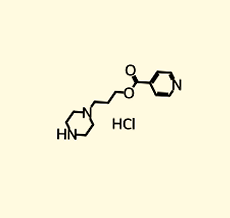 Cl.O=C(OCCCN1CCNCC1)c1ccncc1